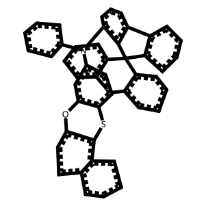 c1ccc(N(c2ccc3c(c2)Oc2ccc4ccccc4c2S3)c2cccc3c2C2(c4ccccc4Sc4ccccc42)c2ccccc2-3)cc1